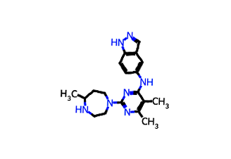 Cc1nc(N2CCNC(C)CC2)nc(Nc2ccc3[nH]ncc3c2)c1C